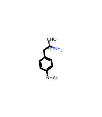 CC(=O)Nc1ccc(C[C@H](N)[C]=O)cc1